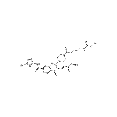 CC(C)(C)OC(=O)/C=C/c1c(N2CCN(C(=O)CCCCNC(=O)OC(C)(C)C)CC2)nc2cc(C(=O)Nc3nc(C(C)(C)C)cs3)ccn2c1=O